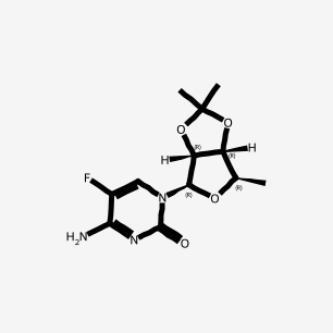 C[C@H]1O[C@@H](n2cc(F)c(N)nc2=O)[C@@H]2OC(C)(C)O[C@@H]21